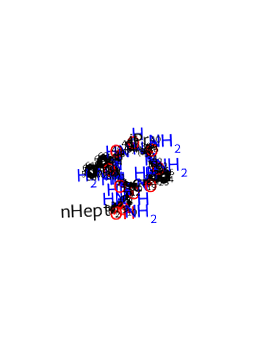 CCCCCCC[C@@H](O)CC(=O)N[C@H](CCN)C(=O)N[C@H]1CCNC(=O)[C@H](Cc2ccccc2)NC(=O)[C@H](CN)NC(=O)[C@H](CCN)NC(=O)[C@H](CC(C)C)NC(=O)[C@@H](Cc2ccc(-c3ccccc3)cc2)NC(=O)[C@H](CCN)NC1=O